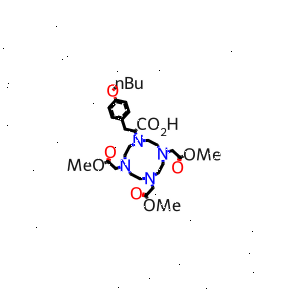 CCCCOc1ccc(CC(C(=O)O)N2CCN(CC(=O)OC)CCN(CC(=O)OC)CCN(CC(=O)OC)CC2)cc1